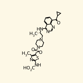 Cc1nc(NC(=O)O)sc1S(=O)(=O)N1CCN(C[C@H](C)Nc2ncnc3c(C(=O)C4CC4)cccc23)CC1